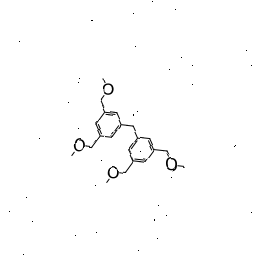 COCc1cc(COC)cc(Cc2cc(COC)cc(COC)c2)c1